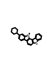 Cn1c2cc(C3CCCCC3)ccc2c2ccc3sc4ccccc4c3c21